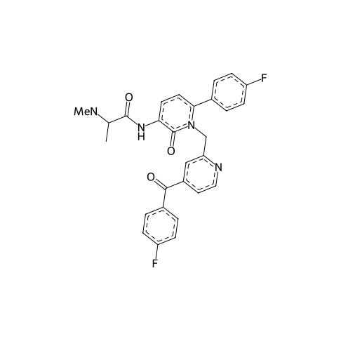 CNC(C)C(=O)Nc1ccc(-c2ccc(F)cc2)n(Cc2cc(C(=O)c3ccc(F)cc3)ccn2)c1=O